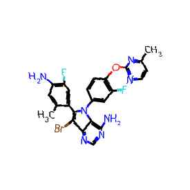 Cc1ccnc(Oc2ccc(-n3c(-c4cc(F)c(N)cc4C)c(Br)c4ncnc(N)c43)cc2F)n1